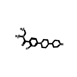 CCN(C)C(=O)c1ccc(N2CCC(C3CCNCC3)CC2)cc1Cl